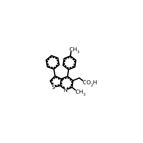 Cc1ccc(-c2c(CC(=O)O)c(C)nc3scc(-c4ccccc4)c23)cc1